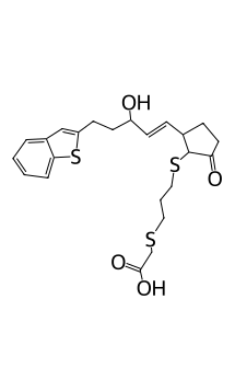 O=C(O)CSCCCSC1C(=O)CCC1/C=C/C(O)CCc1cc2ccccc2s1